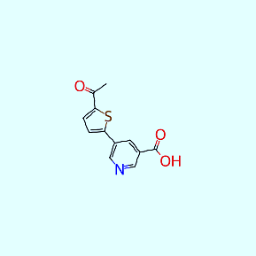 CC(=O)c1ccc(-c2cncc(C(=O)O)c2)s1